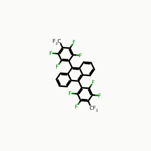 Fc1c(F)c(C(F)(F)F)c(F)c(F)c1-c1c2ccccc2c(-c2c(F)c(F)c(C(F)(F)F)c(F)c2F)c2ccccc12